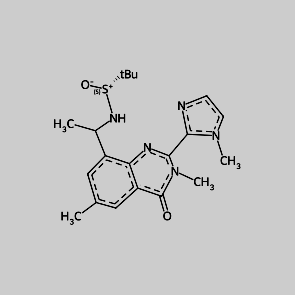 Cc1cc(C(C)N[S@+]([O-])C(C)(C)C)c2nc(-c3nccn3C)n(C)c(=O)c2c1